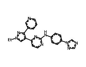 CCn1cc(-c2ccnc(Nc3ccc(-n4cncn4)cc3)n2)c(-c2cccnc2)n1